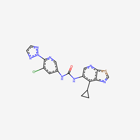 O=C(Nc1cnc(-n2nccn2)c(Cl)c1)Nc1cnc2scnc2c1C1CC1